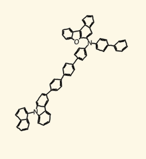 c1ccc(-c2ccc(N(c3ccc(-c4ccc(-c5ccc(-c6ccc7c(c6)c6ccccc6n7-c6cccc7ccccc67)cc5)cc4)cc3)c3cc4ccccc4c4c3oc3ccccc34)cc2)cc1